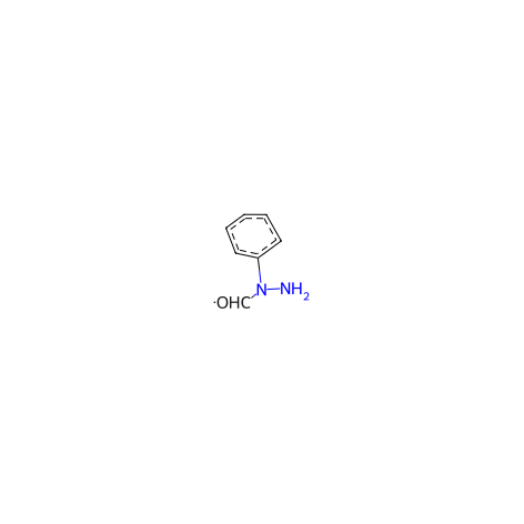 NN([C]=O)c1ccccc1